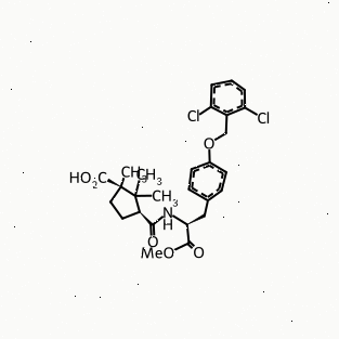 COC(=O)[C@H](Cc1ccc(OCc2c(Cl)cccc2Cl)cc1)NC(=O)[C@H]1CC[C@@](C)(C(=O)O)C1(C)C